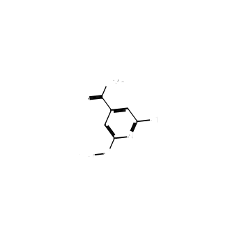 CCCCOc1cc(C(=O)OC)cc(Cl)n1